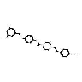 COc1ccc(CCN2CCN(C(=O)Nc3ccc(OCc4cc(C(F)(F)F)cc(C(F)(F)F)c4)cc3)CC2)cc1